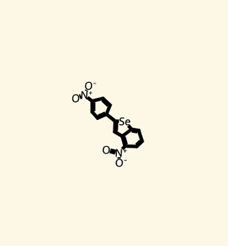 O=[N+]([O-])c1ccc(-c2cc3c([N+](=O)[O-])cccc3[se]2)cc1